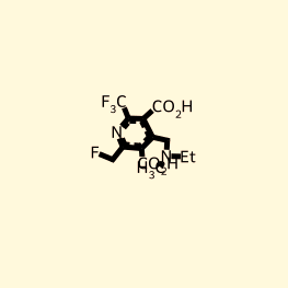 CCN(C)Cc1c(C(=O)O)c(CF)nc(C(F)(F)F)c1C(=O)O